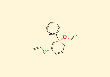 C=COC1=CC(OC=C)(c2ccccc2)CC=C1